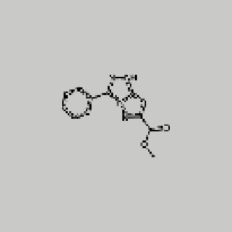 COC(=O)c1cc2[nH]nc(-c3ccccc3)n2n1